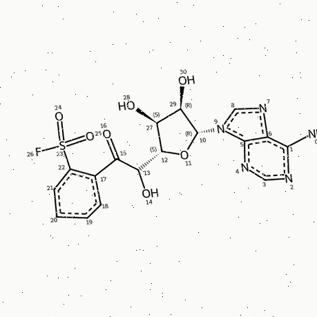 Nc1ncnc2c1ncn2[C@@H]1O[C@H](C(O)C(=O)c2ccccc2S(=O)(=O)F)[C@@H](O)[C@H]1O